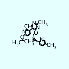 Cc1ccc([C@H]2C[C@@H]2COc2nc(C)ncc2-c2ccc(OC(C)C)nc2C)nc1